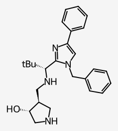 CC(C)(C)[C@@H](NC[C@H]1CNC[C@@H]1O)c1nc(-c2ccccc2)cn1Cc1ccccc1